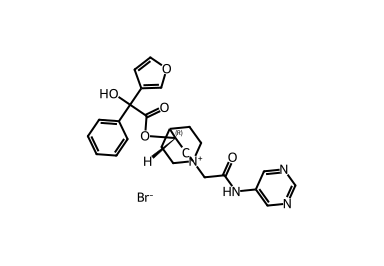 O=C(C[N+]12CCC(CC1)[C@@H](OC(=O)C(O)(c1ccccc1)c1ccoc1)C2)Nc1cncnc1.[Br-]